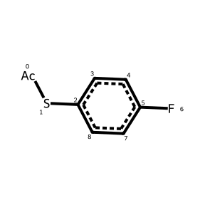 CC(=O)Sc1ccc(F)cc1